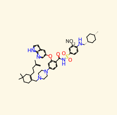 C=C(C)CCC1=C(CN2CCN(c3ccc(C(=O)NS(=O)(=O)c4ccc(NC[C@H]5CC[C@@H](C)CC5)c([N+](=O)[O-])c4)c(Oc4cnc5[nH]ccc5c4)c3)CC2)CCC(C)(C)C1